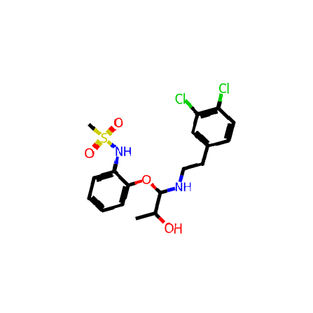 CC(O)C(NCCc1ccc(Cl)c(Cl)c1)Oc1ccccc1NS(C)(=O)=O